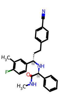 CNC(=O)[C@@H](N[C@@H](CCc1ccc(C#N)cc1)c1ccc(F)c(C)c1)c1ccccc1